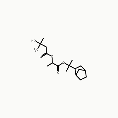 CC(OC(=O)CC(C)(O)C(F)(F)F)C(=O)OC(C)(C)C1CC2CCC1C2